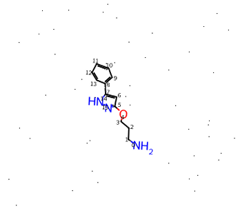 NCCCOc1cc(-c2ccccc2)[nH]n1